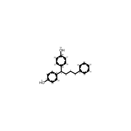 Oc1ccc(C(CCCc2ccccc2)c2ccc(O)cc2)cc1